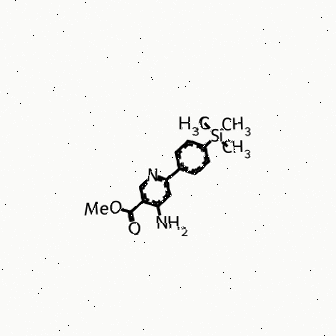 COC(=O)c1cnc(-c2ccc([Si](C)(C)C)cc2)cc1N